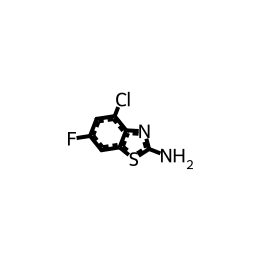 Nc1nc2c(Cl)cc(F)cc2s1